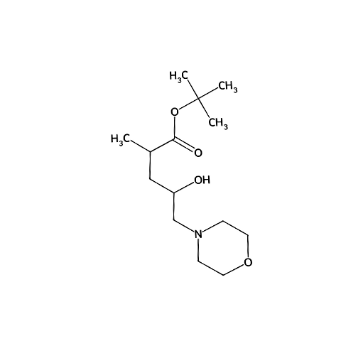 CC(CC(O)CN1CCOCC1)C(=O)OC(C)(C)C